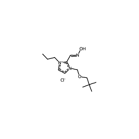 CCC[n+]1ccn(COCC(C)(C)C)c1C=NO.[Cl-]